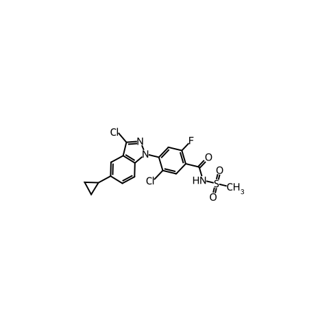 CS(=O)(=O)NC(=O)c1cc(Cl)c(-n2nc(Cl)c3cc(C4CC4)ccc32)cc1F